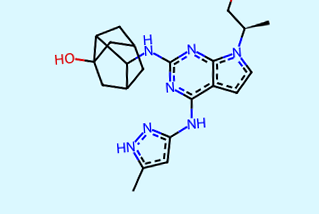 Cc1cc(Nc2nc(NC3C4CC5CC3C(O)(C5)C4)nc3c2ccn3[C@H](C)CO)n[nH]1